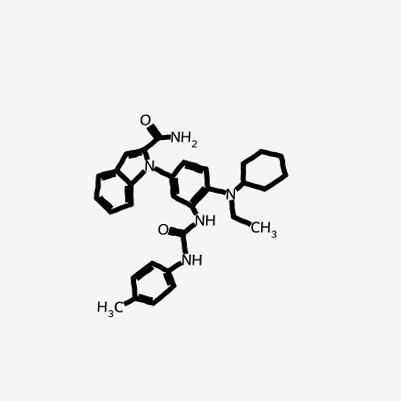 CCN(c1ccc(-n2c(C(N)=O)cc3ccccc32)cc1NC(=O)Nc1ccc(C)cc1)C1CCCCC1